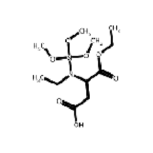 CCOC(=O)C(CC(=O)O)N(CC)[Si](OC)(OC)OC